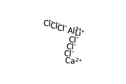 [Al+3].[Ca+2].[Cl-].[Cl-].[Cl-].[Cl-].[Cl-].[Cl-].[Li+]